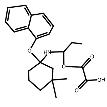 CCC(NC1(Oc2cccc3ccccc23)CCCC(C)(C)C1)OC(=O)C(=O)O